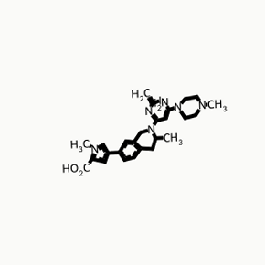 C=C(I)/N=C(\C=C(/N)N1CCN(C)CC1)N1Cc2cc(-c3cc(C(=O)O)n(C)c3)ccc2CC1C